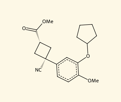 COc1ccc([C@]2(C#N)C[C@@H](C(=O)OC)C2)cc1OC1CCCC1